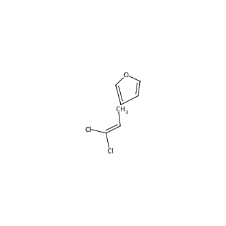 CC=C(Cl)Cl.c1ccoc1